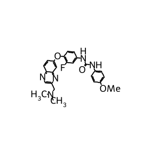 COc1ccc(NC(=O)Nc2ccc(Oc3ccc4ncc(CN(C)C)nc4c3)c(F)c2)cc1